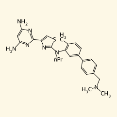 CCCN(c1nc(-c2nc(N)cc(N)n2)cs1)c1cc(-c2ccc(CN(C)C)cc2)ccc1C